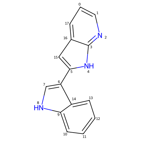 c1cnc2[nH]c(-c3c[nH]c4ccccc34)cc2c1